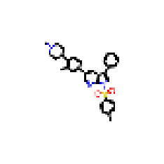 Cc1ccc(S(=O)(=O)n2cc(-c3cc[c]cc3)c3cc(-c4ccc(C5CCN(C)CC5)c(C)c4)cnc32)cc1